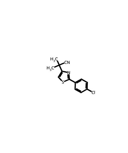 CC(C)(C#N)c1csc(-c2ccc(Cl)cc2)n1